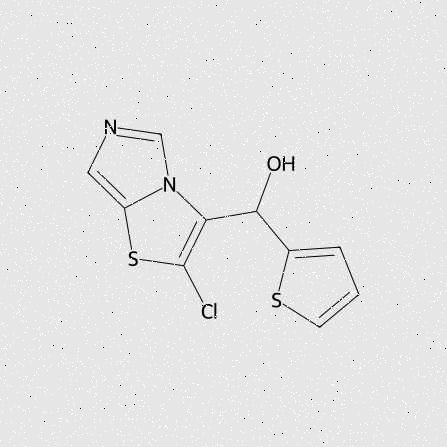 OC(c1cccs1)c1c(Cl)sc2cncn12